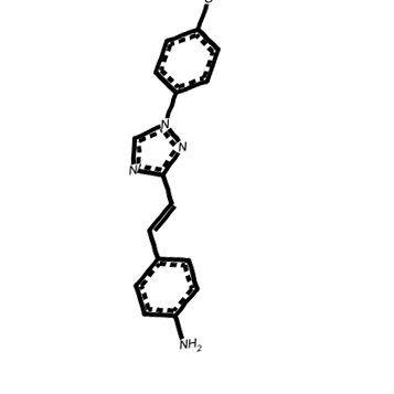 Nc1ccc(/C=C/c2ncn(-c3ccc(OC(F)(F)F)cc3)n2)cc1